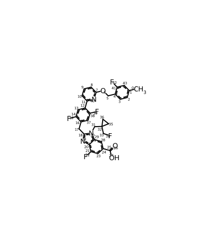 Cc1ccc(COc2cccc(-c3cc(F)c(Cc4nc5c(F)cc(C(=O)O)cc5n4CC4(CF)CC4)cc3F)n2)c(F)c1